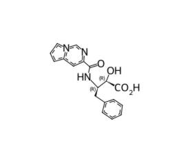 O=C(N[C@H](Cc1ccccc1)[C@@H](O)C(=O)O)c1cc2cccn2cn1